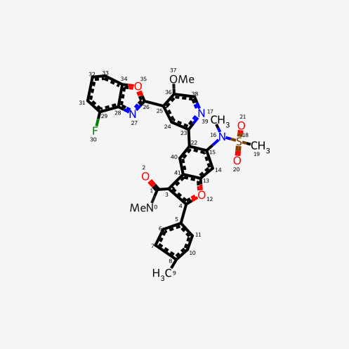 CNC(=O)c1c(-c2ccc(C)cc2)oc2cc(N(C)S(C)(=O)=O)c(-c3cc(-c4nc5c(F)cccc5o4)c(OC)cn3)cc12